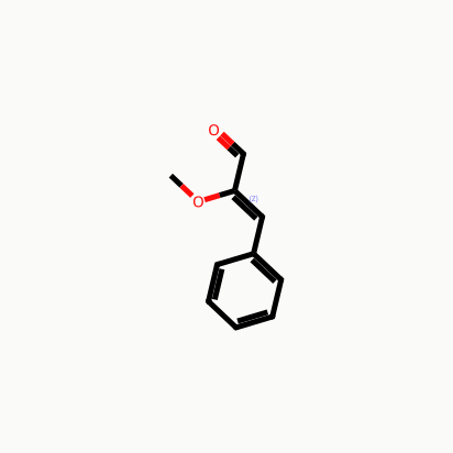 CO/C(C=O)=C\c1ccccc1